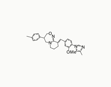 COc1cc(/C=C2\CCCN3CC(c4ccc(C)cc4)CON=C23)ccc1-n1cnc(C)c1